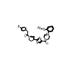 COc1ccccc1N1CCN(C(=O)c2csc(C3CCN(C(=O)Cc4ccc(F)cc4)CC3)n2)CC1